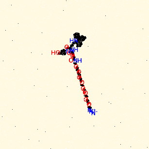 Cc1ccc(C(NCCCC[C@@H](NC(=O)COCC(=O)NCCOCCOCCOCCOCCOCCOCCOCCOCCN=[N+]=[N-])C(=O)Nc2ccc(CO)cc2)(c2ccccc2)c2ccccc2)cc1